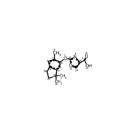 Cc1cc2c(cc1Oc1nc(C(=O)O)co1)C(C)(C)CC2